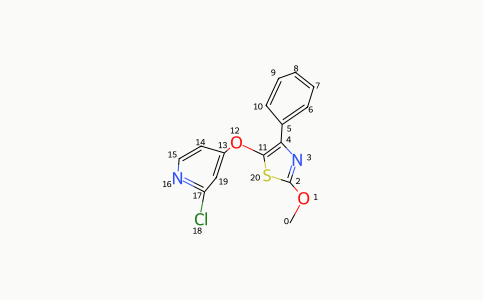 COc1nc(-c2ccccc2)c(Oc2ccnc(Cl)c2)s1